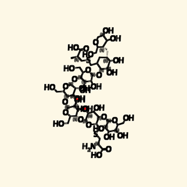 C[C@H](CSCC1C[C@H](C[C@@H]2C(CO)OC[C@@H](O)C2O)C(O)[C@@H](O)[C@@H]1O[C@H]1OC(CO)[C@@H](O[C@H]2OC(CO)[C@@H](O[C@H]3OC(CO)[C@@H](O[C@H]4OC(CSC[C@@H](N)C(=O)O)[C@@H](O[C@H]5OC(CO)[C@@H](O)C(O)[C@@H]5O)C(O)[C@@H]4O)C(O)[C@@H]3O)[C@H](O)C2O)[C@H](O)C1O)C(=O)O